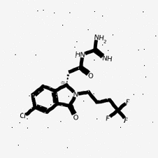 N=C(N)NC(=O)C[C@H]1c2ccc(Cl)cc2C(=O)N1CCCC(F)(F)F